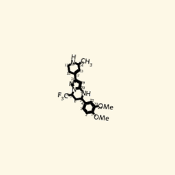 COc1ccc(C2CC(C(F)(F)F)n3nc(C4=CC(C)NCC4)cc3N2)cc1OC